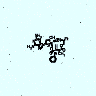 C#C[C@]1(CO[P@@](=O)(N[C@@H](C)C(=O)OCC(CC)CC)Oc2ccccc2)S[C@@H](n2cnc3c(N)nc(N)nc32)C[C@@H]1O